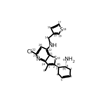 Cc1c([C@@H]2CC=CC[C@H]2N)sc2c(NCc3ccsc3)cc(Cl)nc12